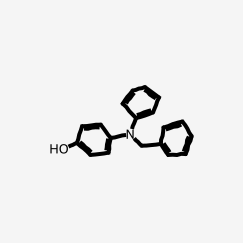 Oc1ccc(N(Cc2ccccc2)c2ccccc2)cc1